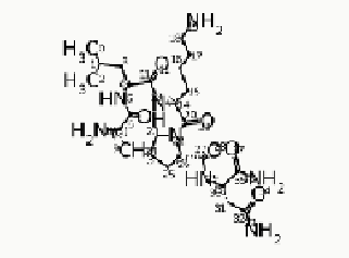 CC(C)C[C@H](NC(=O)[C@H](C)N)C(=O)N[C@@H](CCCCN)C(=O)N1CCC[C@H]1C(=O)N[C@@H](CC(N)=O)C(N)=O